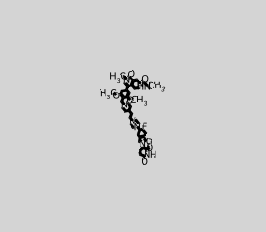 CNC(=O)N1CCc2c(-c3cc(OC)c(CN4CCC(CCN5CCN(c6cc7c(cc6F)C(=O)N(C6CCC(=O)NC6=O)C7)CC5)CC4)c(OC)c3)cn(C)c(=O)c2C1